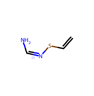 C=CS/N=C\N